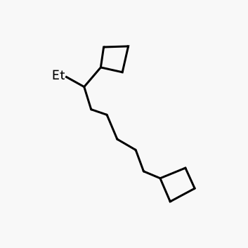 [CH2]CC(CCCCCC1CCC1)C1CCC1